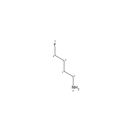 N[CH]CCCF